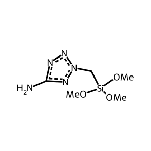 CO[Si](Cn1nnc(N)n1)(OC)OC